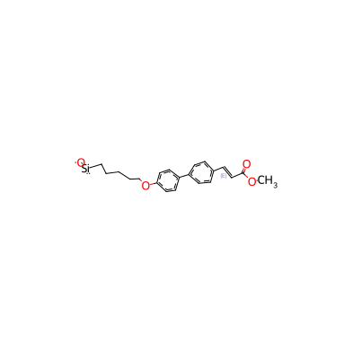 COC(=O)/C=C/c1ccc(-c2ccc(OCCCCC[Si][O])cc2)cc1